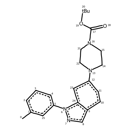 Cc1cccc(-n2ncc3ccc(N4CCN(C(=O)OC(C)(C)C)CC4)cc32)c1